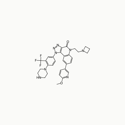 COc1ccc(-c2ccc3c(c2)c2c(nnn2-c2ccc(N4CCNCC4)c(C(F)(F)F)c2)c(=O)n3CCN2CCC2)cn1